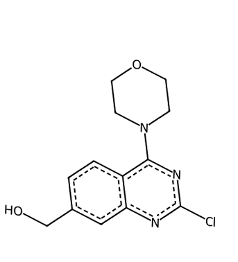 OCc1ccc2c(N3CCOCC3)nc(Cl)nc2c1